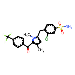 Cc1cc(Cc2ccc(S(N)(=O)=O)cc2Cl)n(C)c1C(=O)c1ccc(C(F)(F)F)cc1